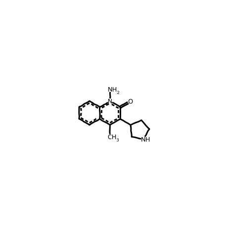 Cc1c(C2CCNC2)c(=O)n(N)c2ccccc12